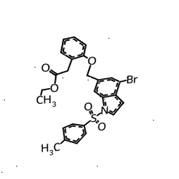 CCOC(=O)Cc1ccccc1OCc1cc(Br)c2ccn(S(=O)(=O)c3ccc(C)cc3)c2c1